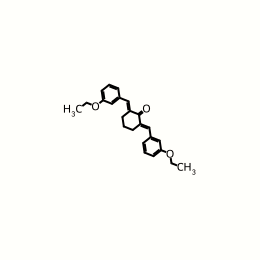 CCOc1cccc(C=C2CCCC(=Cc3cccc(OCC)c3)C2=O)c1